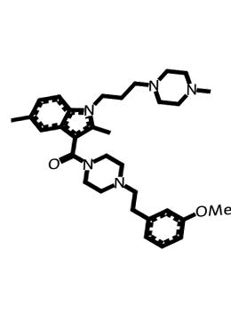 COc1cccc(CCN2CCN(C(=O)c3c(C)n(CCCN4CCN(C)CC4)c4ccc(C)cc34)CC2)c1